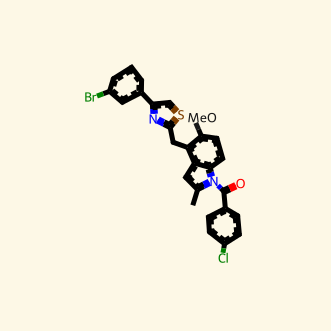 COc1ccc2c(cc(C)n2C(=O)c2ccc(Cl)cc2)c1Cc1nc(-c2cccc(Br)c2)cs1